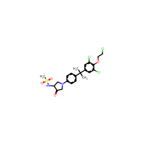 CC(C)(c1ccc(N2CC(=O)C(NS(C)(=O)=O)C2)cc1)c1cc(Cl)c(OCCCl)c(Cl)c1